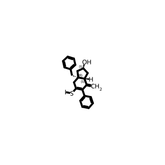 C=C1C(c2ccccc2)=C(SI)C[C@@]2(Cc3ccccc3)C[C@@H](O)C[C@H]12